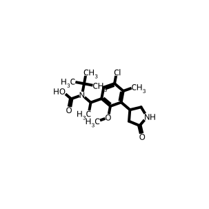 COc1c(C(C)N(C(=O)O)C(C)(C)C)cc(Cl)c(C)c1C1CNC(=O)C1